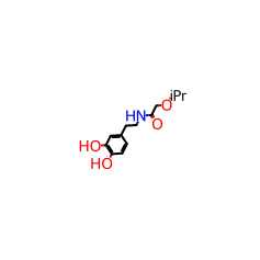 CC(C)OCC(=O)NCCc1ccc(O)c(O)c1